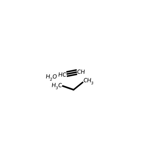 C#C.CCC.O